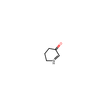 O=C1C=[SiH]CCC1